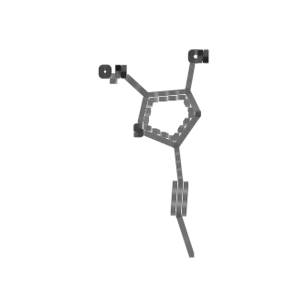 CC#Cc1cc(C#N)c([N+](=O)[O-])s1